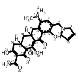 CN(C)c1cc(CN2CC=CC2)c(O)c2c1C[C@H]1C[C@H]3CC(O)=C(C(N)=O)C(=O)[C@@]3(O)C(O)=C1C2=O